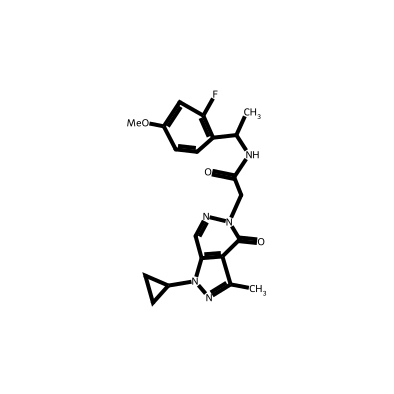 COc1ccc(C(C)NC(=O)Cn2ncc3c(c(C)nn3C3CC3)c2=O)c(F)c1